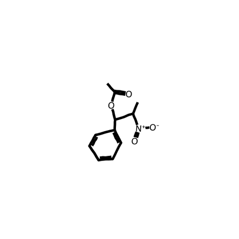 CC(=O)OC(c1ccccc1)C(C)[N+](=O)[O-]